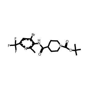 Cc1nc(C(F)(F)F)cc(Br)c1NC(=O)C1CCN(C(=O)OC(C)(C)C)CC1